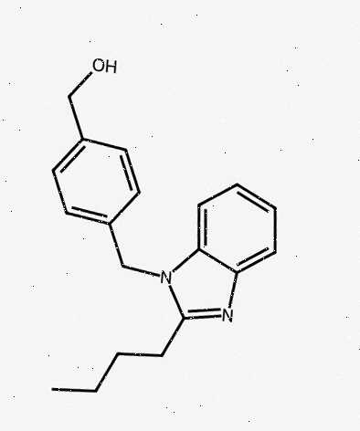 CCCCc1nc2ccccc2n1Cc1ccc(CO)cc1